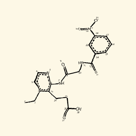 CCc1ccnc(NC(=O)CNC(=O)c2cccc([N+](=O)[O-])c2)c1CCC(=O)O